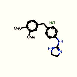 COc1ccc(Cc2ccc(NC3=NCCN3)cc2)cc1OC.Cl